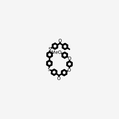 COc1ccc(Oc2ccc(Oc3ccc(C(=O)c4ccc(Sc5ccc(-c6ccc(Sc7ccc(C(=O)c8ccc(C)cc8)cc7)cc6)cc5)cc4)cc3)cc2)cc1